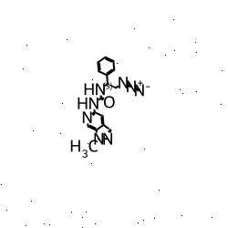 Cn1ncc2cc(NC(=O)N[C@H](CN=[N+]=[N-])c3ccccc3)ncc21